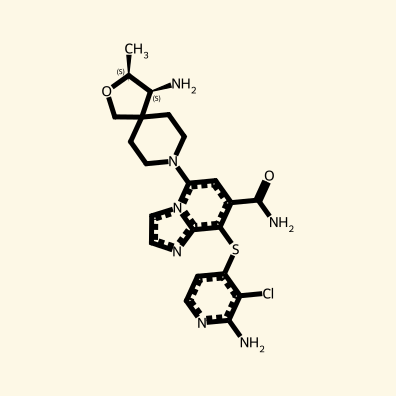 C[C@@H]1OCC2(CCN(c3cc(C(N)=O)c(Sc4ccnc(N)c4Cl)c4nccn34)CC2)[C@@H]1N